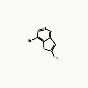 Cc1cc2cncc(Br)c2o1